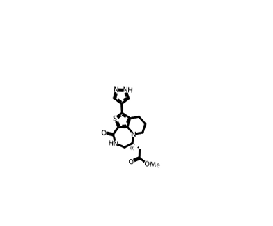 COC(=O)C[C@@H]1CNC(=O)c2sc(-c3cn[nH]c3)c3c2N1CCC3